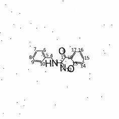 O=c1c(NCc2ccccc2)noc2ccccc12